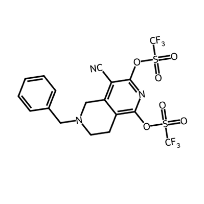 N#Cc1c(OS(=O)(=O)C(F)(F)F)nc(OS(=O)(=O)C(F)(F)F)c2c1CN(Cc1ccccc1)CC2